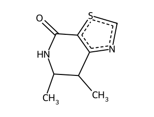 CC1NC(=O)c2scnc2C1C